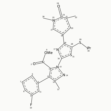 COC(=O)c1c(-c2cccc(F)c2)c(C)nn1-c1nc(-c2cc(C)c(=O)n(C)c2)c(SC(C)C)s1